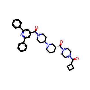 O=C(c1cc(-c2ccccc2)nc(-c2ccccc2)c1)N1CCC(N2CCC[C@@H](C(=O)N3CCN(C(=O)C4CCC4)CC3)C2)CC1